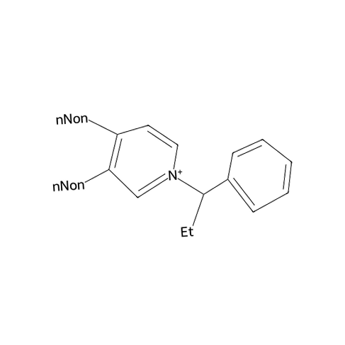 CCCCCCCCCc1cc[n+](C(CC)c2ccccc2)cc1CCCCCCCCC